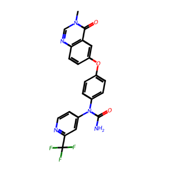 Cn1cnc2ccc(Oc3ccc(N(C(N)=O)c4ccnc(C(F)(F)F)c4)cc3)cc2c1=O